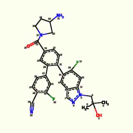 CC(C)(O)Cn1ncc2cc(-c3ccc(C(=O)N4CCC(N)C4)cc3-c3ccc(C#N)c(F)c3)c(F)cc21